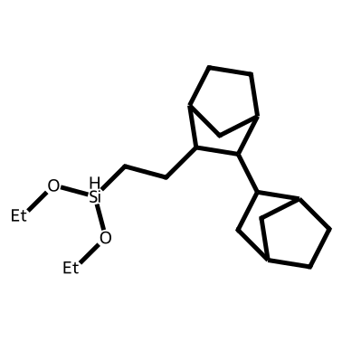 CCO[SiH](CCC1C2CCC(C2)C1C1CC2CCC1C2)OCC